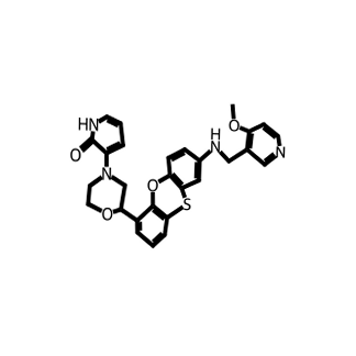 COc1ccncc1CNc1ccc2c(c1)Sc1cccc(C3CN(c4ccc[nH]c4=O)CCO3)c1O2